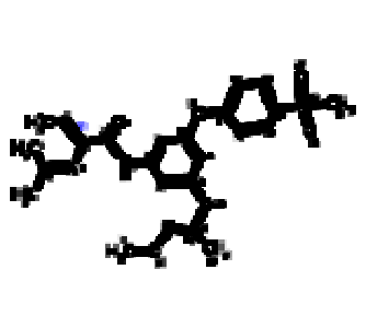 C/C=C(\N=C(C)C)C(=O)Nc1cc(Oc2ccc(S(C)(=O)=O)cc2)cc(O[C@@H](C)COC)c1